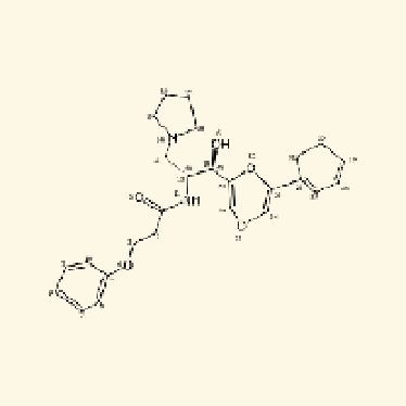 O=C(CCOc1ccccc1)N[C@H](CN1CCCC1)[C@@H](O)C1=COC=C(C2=CC=CCC2)O1